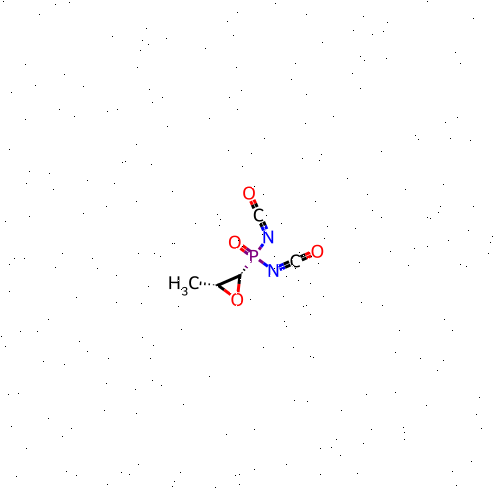 C[C@H]1O[C@H]1P(=O)(N=C=O)N=C=O